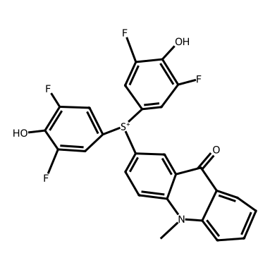 Cn1c2ccccc2c(=O)c2cc([S+](c3cc(F)c(O)c(F)c3)c3cc(F)c(O)c(F)c3)ccc21